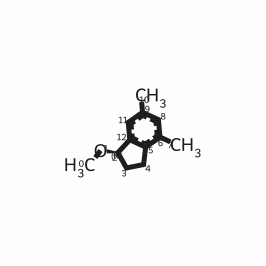 CO[C@@H]1CCc2c(C)cc(C)cc21